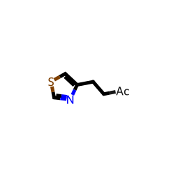 CC(=O)CCc1cscn1